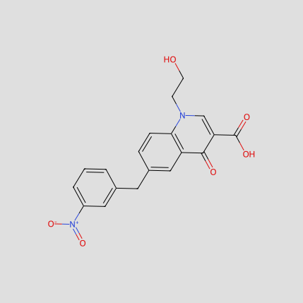 O=C(O)c1cn(CCO)c2ccc(Cc3cccc([N+](=O)[O-])c3)cc2c1=O